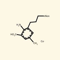 CCCCCCCCCCCCc1cc(C)cc(C(=O)O)c1N.[Co]